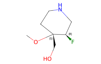 CO[C@]1(CO)CCNC[C@H]1F